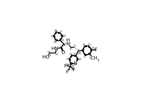 Cc1cc([C@@H](CCN[C@H](C(=O)NCCO)c2ccccc2)c2ccc(C(F)(F)F)nc2)ccc1F